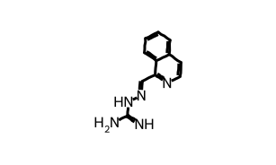 N=C(N)N/N=C/c1nccc2ccccc12